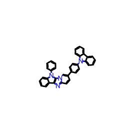 c1ccc(-n2c3ccccc3c3nc4ccc(-c5ccc(-n6c7ccccc7c7ccccc76)cc5)cn4c32)cc1